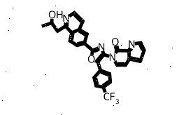 CC(O)Cc1nccc2cc(-c3nc(-n4ccc5cccnc5c4=O)c(-c4ccc(C(F)(F)F)cc4)o3)ccc12